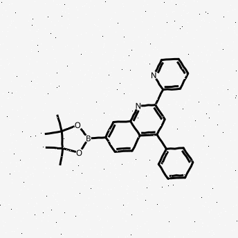 CC1(C)OB(c2ccc3c(-c4ccccc4)cc(-c4ccccn4)nc3c2)OC1(C)C